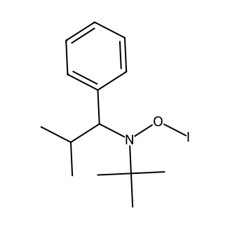 CC(C)C(c1ccccc1)N(OI)C(C)(C)C